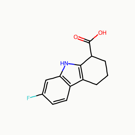 O=C(O)C1CCCc2c1[nH]c1cc(F)ccc21